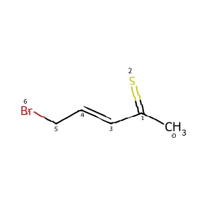 CC(=S)/C=C/CBr